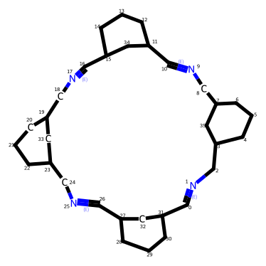 C1=N/CC2CCCC(C/N=C/C3CCCC(/C=N/CC4CCCC(C/N=C/C5CCCC/1C5)C4)C3)C2